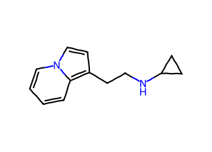 c1ccn2ccc(CCNC3CC3)c2c1